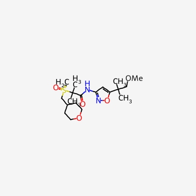 C=S(=O)(CC1CCOCC1)C(C)(C)C(=O)Nc1cc(C(C)(C)COC)on1